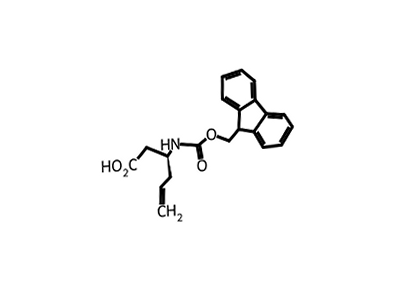 C=CC[C@@H](CC(=O)O)NC(=O)OCC1c2ccccc2-c2ccccc21